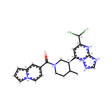 CC1CCN(C(=O)c2ccn3cccc3c2)C[C@H]1c1cc(C(F)F)nc2ncnn12